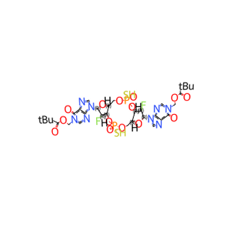 CC(C)(C)C(=O)OCn1cnc2c(ncn2[C@@H]2O[C@@H]3COP(=O)(S)O[C@H]4[C@@H](F)[C@H](n5cnc6c(=O)n(COC(=O)C(C)(C)C)cnc65)O[C@@H]4COP(=O)(S)O[C@H]3[C@H]2F)c1=O